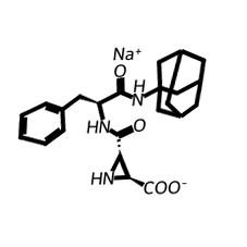 O=C(NC12CC3CC(CC(C3)C1)C2)[C@H](Cc1ccccc1)NC(=O)[C@H]1N[C@@H]1C(=O)[O-].[Na+]